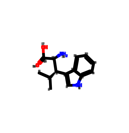 CC(C)[C@@H](c1c[nH]c2ccccc12)[C@H](N)C(=O)O